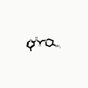 Cc1ccnc(NC(=O)CN2CCC(N)CC2)c1